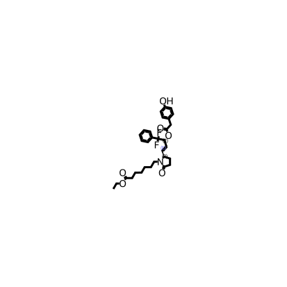 CCOC(=O)CCCCCCN1C(=O)CC[C@@H]1/C=C/[C@@H](OC(=O)Cc1ccc(O)cc1)C(F)(F)c1ccccc1